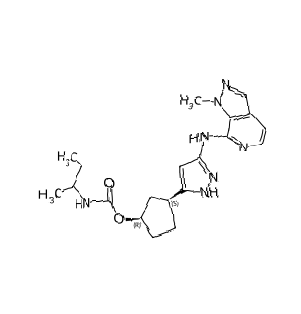 CCC(C)NC(=O)O[C@@H]1CC[C@H](c2cc(Nc3nccc4cnn(C)c34)n[nH]2)C1